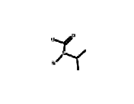 CC(C)N(Br)C(=O)O